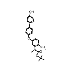 CN(C(=O)OC(C)(C)C)c1cc(Oc2ccc(-c3ccc(O)cc3)cc2)ccc1N